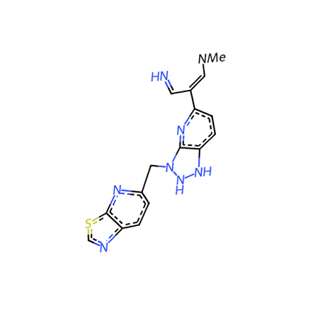 CN/C=C(\C=N)c1ccc2c(n1)N(Cc1ccc3ncsc3n1)NN2